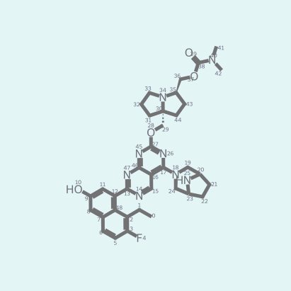 CCc1c(F)ccc2cc(O)cc(-c3ncc4c(N5CC6CCC(C5)N6)nc(OC[C@]56CCCN5[C@@H](COC(=O)N(C)C)CC6)nc4n3)c12